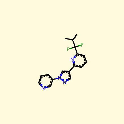 CC(C)C(F)(F)c1cccc(-c2cnn(-c3cccnc3)c2)n1